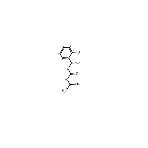 CC(C)OC(=O)OC(Cl)c1ccccc1Cl